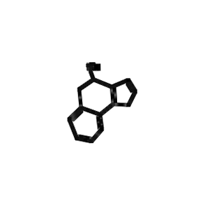 CC(C)(C)C1Cc2ccccc2C2=C1C=CC2